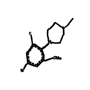 COc1cc(Br)cc(F)c1N1CCN(C)CC1